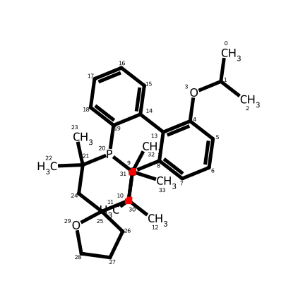 CC(C)Oc1cccc(OC(C)C)c1-c1ccccc1P1C(C)(C)CC2(CCCO2)CC1(C)C